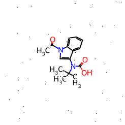 CC(=O)n1cc(N(C(=O)O)C(C)(C)C)c2ccccc21